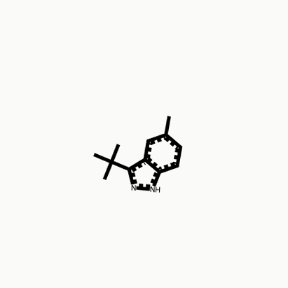 Cc1ccc2[nH]nc(C(C)(C)C)c2c1